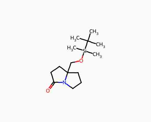 CC(C)(C)[Si](C)(C)OCC12CCCN1C(=O)CC2